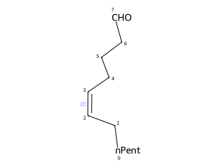 CCCCCC/C=C\CCCC=O